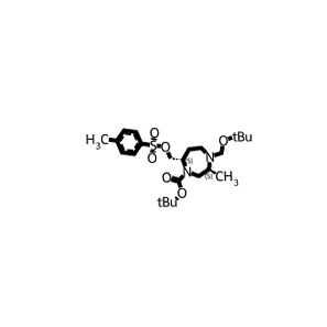 Cc1ccc(S(=O)(=O)OC[C@@H]2CCN(COC(C)(C)C)[C@@H](C)CN2C(=O)OC(C)(C)C)cc1